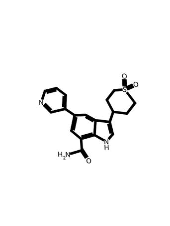 NC(=O)c1cc(-c2cccnc2)cc2c(C3CCS(=O)(=O)CC3)c[nH]c12